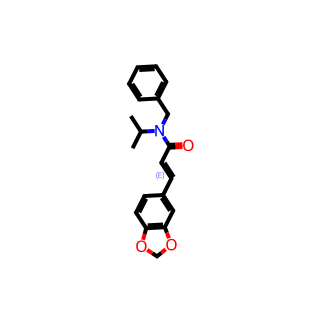 CC(C)N(Cc1ccccc1)C(=O)/C=C/c1ccc2c(c1)OCO2